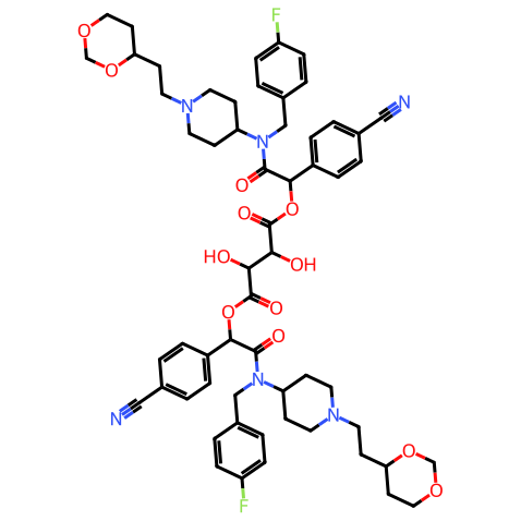 N#Cc1ccc(C(OC(=O)C(O)C(O)C(=O)OC(C(=O)N(Cc2ccc(F)cc2)C2CCN(CCC3CCOCO3)CC2)c2ccc(C#N)cc2)C(=O)N(Cc2ccc(F)cc2)C2CCN(CCC3CCOCO3)CC2)cc1